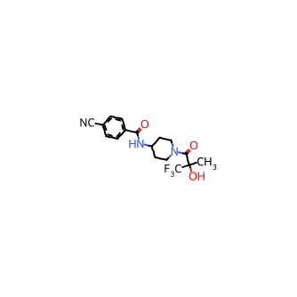 CC(O)(C(=O)N1CCC(NC(=O)c2ccc(C#N)cc2)CC1)C(F)(F)F